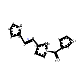 O=C(c1ccsc1)n1ccc(/C=C/c2ccco2)n1